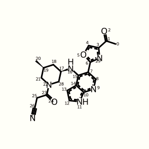 CC(=O)c1coc(-c2cnc3[nH]ccc3c2N[C@@H]2C[C@H](C)CN(C(=O)CC#N)C2)n1